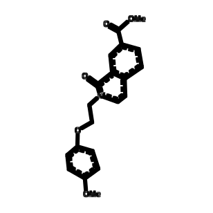 COC(=O)c1ccc2ccn(CCOc3ccc(OC)cc3)c(=O)c2c1